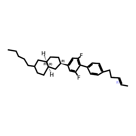 C/C=C/CCc1ccc(-c2c(F)cc([C@@H]3CC[C@@H]4CC(CCCCC)CC[C@@H]4C3)cc2F)cc1